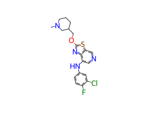 CN1CCCC(COc2nc3c(Nc4ccc(F)c(Cl)c4)cncc3s2)C1